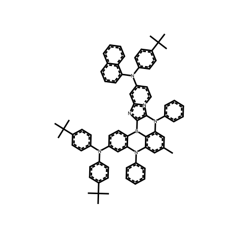 Cc1cc2c3c(c1)N(c1ccccc1)c1c(nc4cc(N(c5ccc(C(C)(C)C)cc5)c5cccc6ccccc56)ccn14)B3c1ccc(N(c3ccc(C(C)(C)C)cc3)c3ccc(C(C)(C)C)cc3)cc1N2c1ccccc1